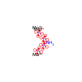 N.O=P([O-])([O-])[O-].O=P([O-])([O-])[O-].O=P([O-])([O-])[O-].O=P([O-])([O-])[O-].[Mo+4].[Mo+4].[Mo+4]